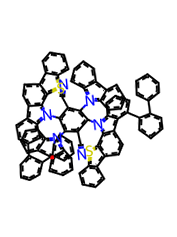 N#Cc1c(-n2c3ccccc3c3ccccc32)c(-n2c3cccc(-c4ccccc4-c4ccccc4)c3c3ccc4c5ccccc5sc4c32)c(C#N)c(-n2c3ccccc3c3ccccc32)c1-n1c2cc(-c3ccccc3-c3ccccc3)ccc2c2ccc3c4ccccc4sc3c21